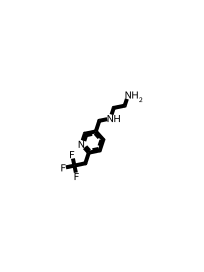 NCCNCc1ccc(CC(F)(F)F)nc1